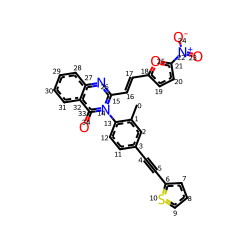 Cc1cc(C#Cc2cccs2)ccc1-n1c(/C=C/c2ccc([N+](=O)[O-])o2)nc2ccccc2c1=O